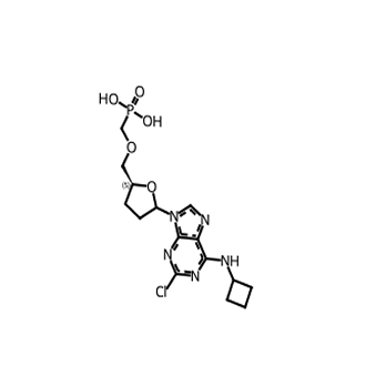 O=P(O)(O)COC[C@@H]1CCC(n2cnc3c(NC4CCC4)nc(Cl)nc32)O1